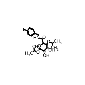 CC(C)O[C@@H]1OC(C(=O)NCc2ccc(I)cc2)[C@@H](OC(C)C)[C@H](O)[C@@H]1O